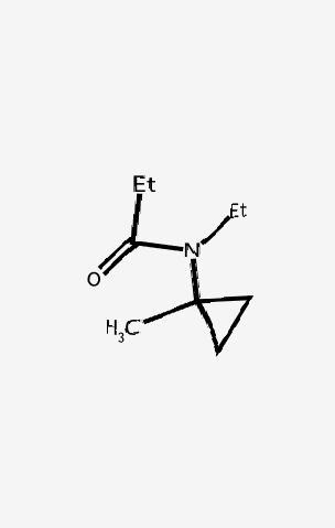 CCC(=O)N(CC)C1(C)CC1